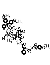 COc1ccc(C(OC[C@@H](OCn2cnc3c(=O)[nH]c(NC(=O)CCNC(=O)Cc4cn(C(=O)OCCS(=O)(=O)c5ccc(OC)cc5)c5ccccc45)nc32)[C@@H](C)OP(OCCC#N)N(C(C)C)C(C)C)(c2ccccc2)c2ccc(OC)cc2)cc1